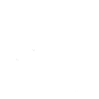 Cc1noc(-c2ccc(-c3ccc(C4(C(=O)O)CC4)cc3)cc2)c1NC(=O)OCCC1CCCCC1